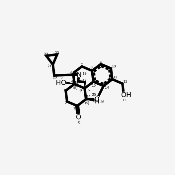 O=C1CC[C@]2(O)C3Cc4ccc(CO)c5c4[C@]2(CCN3CC2CC2)[C@@H]1O5